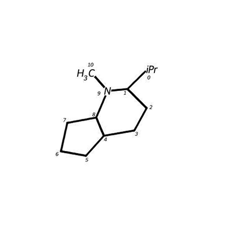 CC(C)C1CCC2CCCC2N1C